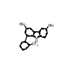 CC(C)(C)c1ccc2[nH]c3c(-c4ccccc4C(F)(F)F)cc(C(C)(C)C)cc3c2c1